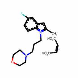 Cc1cc2cc(F)ccc2n1CCCN1CCOCC1.O=C(O)/C=C\C(=O)O